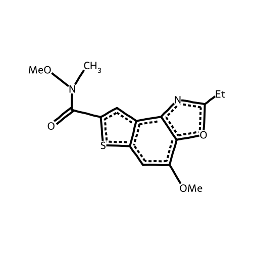 CCc1nc2c(o1)c(OC)cc1sc(C(=O)N(C)OC)cc12